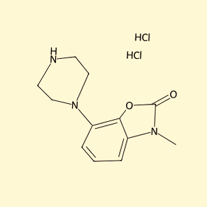 Cl.Cl.Cn1c(=O)oc2c(N3CCNCC3)cccc21